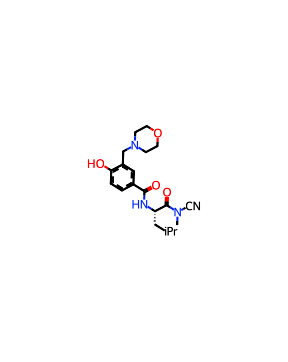 CC(C)C[C@H](NC(=O)c1ccc(O)c(CN2CCOCC2)c1)C(=O)N(C)C#N